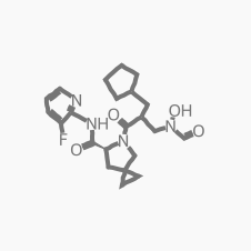 O=CN(O)CC(CC1CCCC1)C(=O)N1CC2(CC2)C[C@H]1C(=O)Nc1ncccc1F